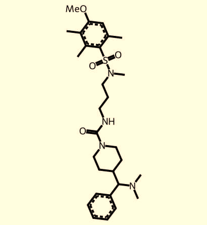 COc1cc(C)c(S(=O)(=O)N(C)CCCNC(=O)N2CCC(C(c3ccccc3)N(C)C)CC2)c(C)c1C